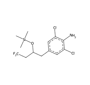 C[Si](C)(C)OC(Cc1cc(Cl)c(N)c(Cl)c1)CC(F)(F)F